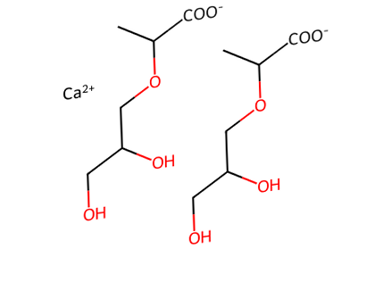 CC(OCC(O)CO)C(=O)[O-].CC(OCC(O)CO)C(=O)[O-].[Ca+2]